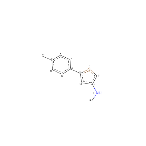 CNc1csc(-c2ccc(C)cc2)c1